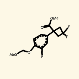 COC(=O)C1(c2ccc(OCSC)c(F)c2)CC(F)(F)C1